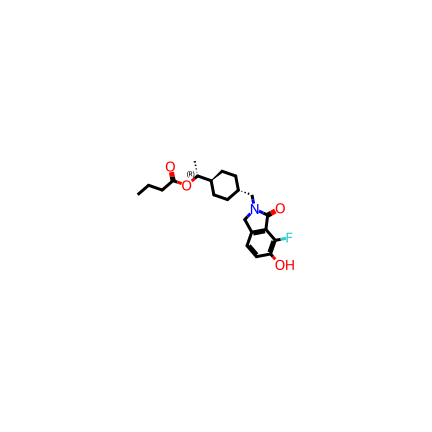 CCCC(=O)O[C@H](C)[C@H]1CC[C@H](CN2Cc3ccc(O)c(F)c3C2=O)CC1